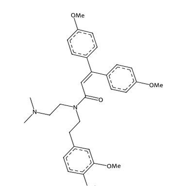 COc1ccc(C(=CC(=O)N(CCc2ccc(OC)c(OC)c2)CCN(C)C)c2ccc(OC)cc2)cc1